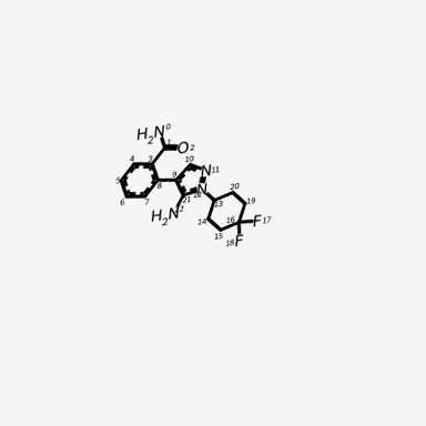 NC(=O)c1ccccc1-c1cnn(C2CCC(F)(F)CC2)c1N